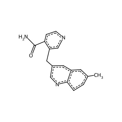 Cc1ccc2ncc(Cc3cnccc3C(N)=O)cc2c1